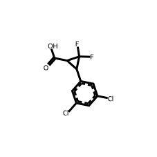 O=C(O)C1C(c2cc(Cl)cc(Cl)c2)C1(F)F